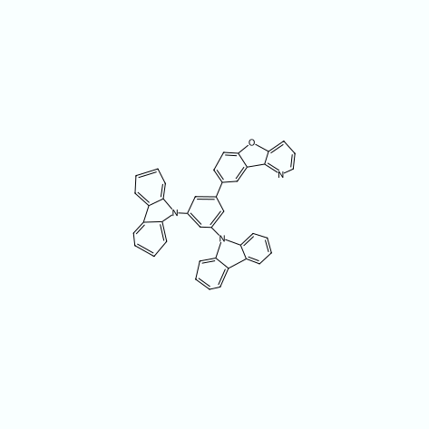 c1cnc2c(c1)oc1ccc(-c3cc(-n4c5ccccc5c5ccccc54)cc(-n4c5ccccc5c5ccccc54)c3)cc12